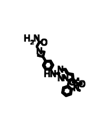 CN(c1ccccc1-c1ccc2cnc(Nc3ccc(C4CN(CC(N)=O)C4)cc3)nn12)S(C)(=O)=O